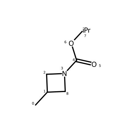 CC1CN(C(=O)OC(C)C)C1